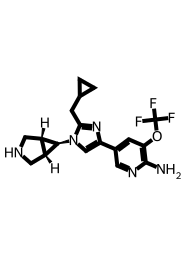 Nc1ncc(-c2cn([C@H]3[C@@H]4CNC[C@@H]43)c(CC3CC3)n2)cc1OC(F)(F)F